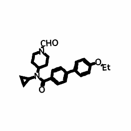 CCOc1ccc(-c2ccc(C(=O)N(C3CC3)C3CCN(C=O)CC3)cc2)cc1